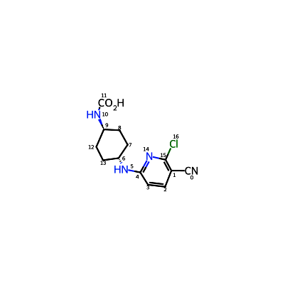 N#Cc1ccc(N[C@H]2CC[C@H](NC(=O)O)CC2)nc1Cl